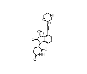 Cn1c(=O)n(C2CCC(=O)NC2=O)c2cccc(C#C[C@@H]3CNCCO3)c21